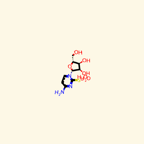 Nc1ccn([C@@H]2O[C@H](CO)[C@@H](O)[C@H]2O)c(=S)n1.O.O